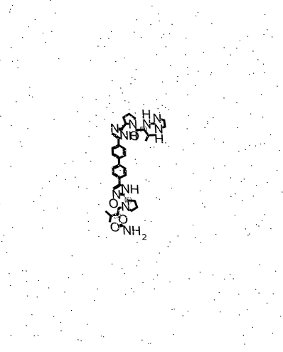 CC(C)[C@H](OC(N)=O)C(=O)N1CCC[C@H]1c1ncc(-c2ccc(-c3ccc(-c4cnc(C5CCCN5C(=O)[C@H](NC5=NCCN5)C(C)C)[nH]4)cc3)cc2)[nH]1